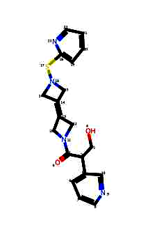 O=C(C(CO)c1cccnc1)N1CC(=C2CN(Sc3ccccn3)C2)C1